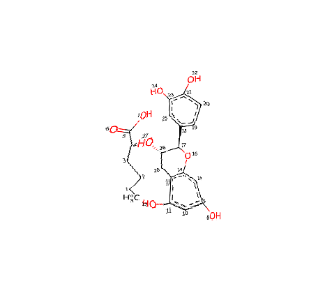 CCCCCC(=O)O.Oc1cc(O)c2c(c1)O[C@H](c1ccc(O)c(O)c1)[C@@H](O)C2